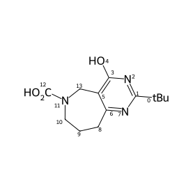 CC(C)(C)c1nc(O)c2c(n1)CCCN(C(=O)O)C2